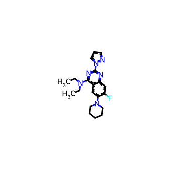 CCN(CC)c1nc(-n2cccn2)nc2cc(F)c(N3CCCCC3)cc12